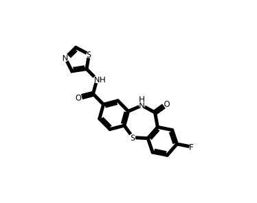 O=C(Nc1cncs1)c1ccc2c(c1)NC(=O)c1cc(F)ccc1S2